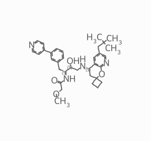 COCC(=O)N[C@@H](Cc1cccc(-c2ccncc2)c1)[C@@H](O)CN[C@H]1CC2(CCC2)Oc2ncc(CC(C)(C)C)cc21